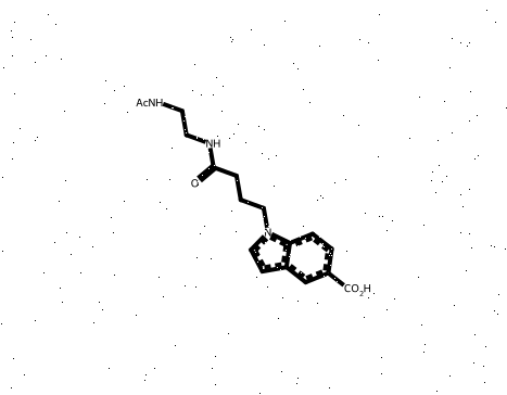 CC(=O)NCCNC(=O)CCCn1ccc2cc(C(=O)O)ccc21